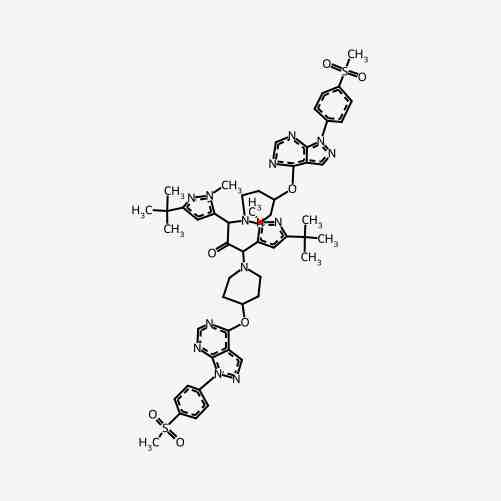 Cn1nc(C(C)(C)C)cc1C(C(=O)C(c1cc(C(C)(C)C)nn1C)N1CCC(Oc2ncnc3c2cnn3-c2ccc(S(C)(=O)=O)cc2)CC1)N1CCC(Oc2ncnc3c2cnn3-c2ccc(S(C)(=O)=O)cc2)CC1